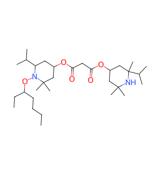 CCCCC(CC)ON1C(C(C)C)CC(OC(=O)CC(=O)OC2CC(C)(C)NC(C)(C(C)C)C2)CC1(C)C